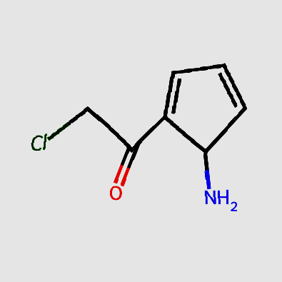 NC1C=CC=C1C(=O)CCl